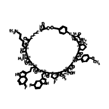 COc1ccc(C[C@@H]2NC(=O)[C@H]([C@@H](C)O)NC(=O)[C@@H]3C[C@H](F)CN3C(=O)[C@H](Cc3c[nH]c4ccc(F)cc34)NC(=O)[C@H](CCc3c[nH]c4ccc(F)cc34)NC(=O)[C@@H](C)NC(=O)[C@H](CCCCN)NC(=O)CCCNC(=O)COc3ccc(cc3)C[C@@H](C(N)=O)NC(=O)[C@]3(C)CCCN3C2=O)cc1